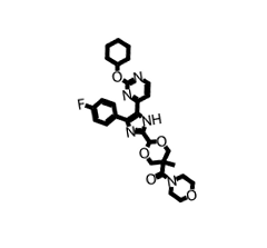 CC1(C(=O)N2CCOCC2)COC(c2nc(-c3ccc(F)cc3)c(-c3ccnc(OC4CCCCC4)n3)[nH]2)OC1